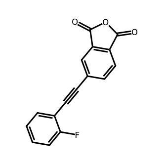 O=C1OC(=O)c2cc(C#Cc3ccccc3F)ccc21